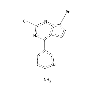 Nc1ccc(-c2nc(Cl)nc3c(Br)csc23)cn1